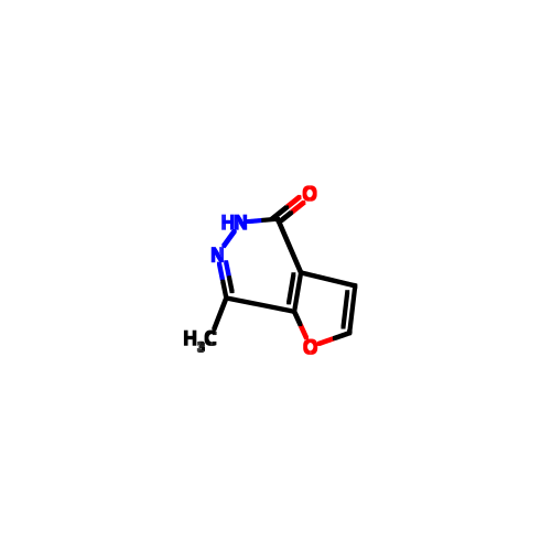 Cc1n[nH]c(=O)c2ccoc12